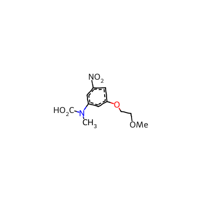 COCCOc1cc(N(C)C(=O)O)cc([N+](=O)[O-])c1